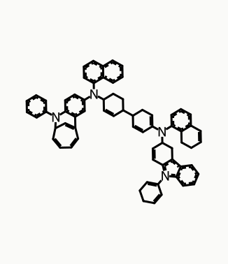 C1=CC2=CC(C=C1)N(c1ccccc1)c1ccc(N(c3cccc4ccccc34)C3C=CC(C4C=CC(N(c5cccc6c5CCC=C6)C5C=Cc6c(c7ccccc7n6C6=CCCC=C6)C5)=CC4)CC3)cc12